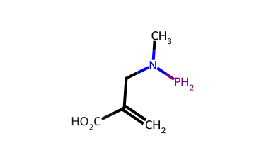 C=C(CN(C)P)C(=O)O